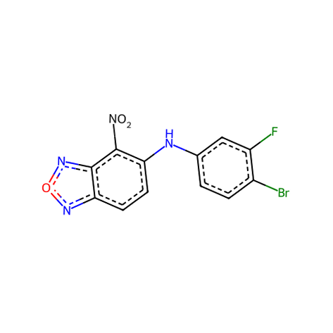 O=[N+]([O-])c1c(Nc2ccc(Br)c(F)c2)ccc2nonc12